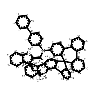 C=C/C=c1\c(=C(/C)N(c2ccc(-c3ccccc3)cc2)c2ccc3c(c2)C2(c4ccccc4-c4ccccc4-3)c3ccccc3-c3c2ccc2c3sc3ccccc32)oc2ccccc12